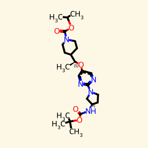 CC(C)OC(=O)N1CCC([C@H](C)Oc2cnc(N3CC[C@@H](NC(=O)OC(C)(C)C)C3)nc2)CC1